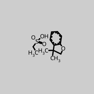 CC1(C)COc2ccccc21.CCS(=O)(=O)O